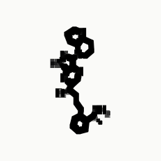 CC[C@@H](CCCc1ccccc1[C@@H](C)N)c1cnc2c(N3CCCc4ncccc43)n[nH]c2n1